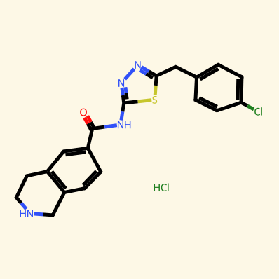 Cl.O=C(Nc1nnc(Cc2ccc(Cl)cc2)s1)c1ccc2c(c1)CCNC2